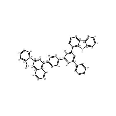 c1ccc(-c2cc(-c3cccc4c3sc3ccccc34)nc(-c3ccc(-c4nc5c6ccccc6oc5c5ccccc45)cc3)n2)cc1